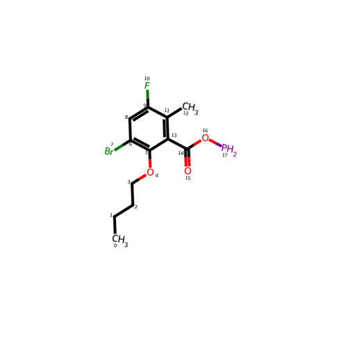 CCCCOc1c(Br)cc(F)c(C)c1C(=O)OP